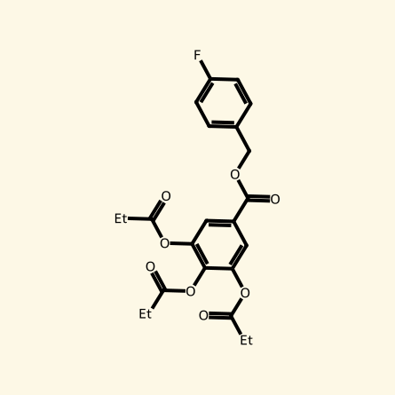 CCC(=O)Oc1cc(C(=O)OCc2ccc(F)cc2)cc(OC(=O)CC)c1OC(=O)CC